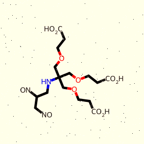 O=NCC(CNC(COCCC(=O)O)(COCCC(=O)O)COCCC(=O)O)N=O